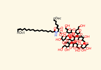 CCCCCCCC/C=C\CCCCCCCCCCCCCCCC(=O)N[C@@H](CO[C@@H]1OC(CO)[C@@H](O[C@@H]2OC(CO)[C@H](O)[C@H](O[C@@H]3OC(CO)[C@@H](O[C@H]4OC(C)[C@@H](O)C(O)[C@@H]4O)[C@H](O[C@@H]4OC(CO)[C@H](O)[C@H](O[C@@H]5OC(CO)[C@@H](O[C@@H]6OC(CO)[C@H](O)[C@H](O)C6O[C@H]6OC(C)[C@@H](O)C(O)[C@@H]6O)[C@H](O)C5NC(C)=O)C4O)C3NC(C)=O)C2O)[C@H](O)C1O)[C@H](O)/C=C/CCCCCCCCCCCCC